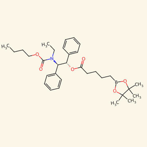 CCCCOC(=O)N(CC)[C@H](c1ccccc1)[C@@H](OC(=O)CCCCB1OC(C)(C)C(C)(C)O1)c1ccccc1